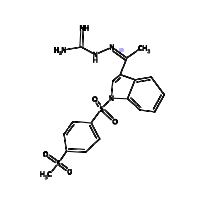 C/C(=N/NC(=N)N)c1cn(S(=O)(=O)c2ccc(S(C)(=O)=O)cc2)c2ccccc12